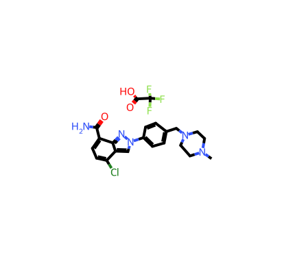 CN1CCN(Cc2ccc(-n3cc4c(Cl)ccc(C(N)=O)c4n3)cc2)CC1.O=C(O)C(F)(F)F